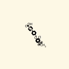 CS(=O)(=O)c1ccc(OC[C@H]2CC[C@H](N3CCN(C(=O)O)CC3)CC2)c(Cl)c1